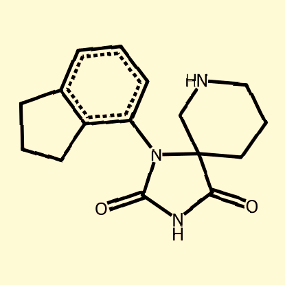 O=C1NC(=O)C2(CCCNC2)N1c1cccc2c1CCC2